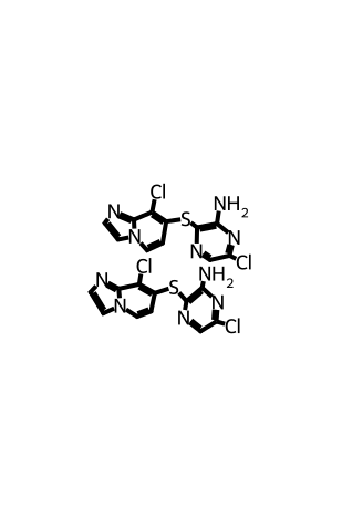 Nc1nc(Cl)cnc1Sc1ccn2ccnc2c1Cl.Nc1nc(Cl)cnc1Sc1ccn2ccnc2c1Cl